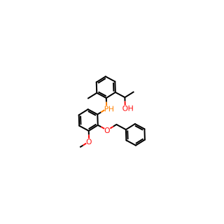 COc1cccc(Pc2c(C)cccc2C(C)O)c1OCc1ccccc1